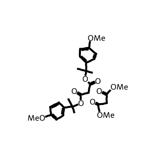 COC(=O)CC(=O)OC.COc1ccc(C(C)(C)OC(=O)CC(=O)OC(C)(C)c2ccc(OC)cc2)cc1